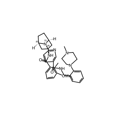 COc1cccc(C(=O)N[C@H]2C[C@H]3CC[C@@H](C2)N3c2ccc(C(=O)NCc3ccccc3N3CCN(C)CC3)cn2)c1C